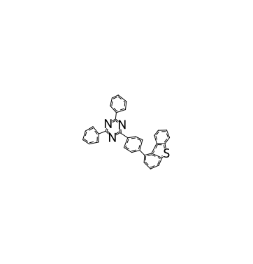 c1ccc(-c2nc(-c3ccccc3)nc(-c3ccc(-c4cccc5sc6ccccc6c45)cc3)n2)cc1